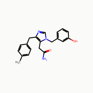 Cc1ccc(Cc2ncn(Cc3cccc(O)c3)c2CC(N)=O)cc1